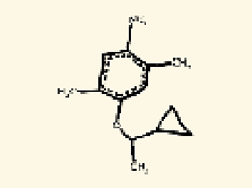 Cc1cc(OC(C)C2CC2)c(C)cc1N